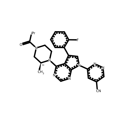 CC(C)C(=O)N1CCN(c2ncnc3c2c(-c2ccccc2F)cn3-c2cc(C#N)cnn2)[C@@H](C)C1